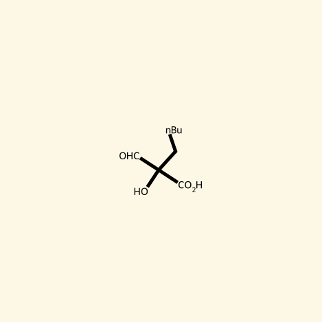 CCCCCC(O)(C=O)C(=O)O